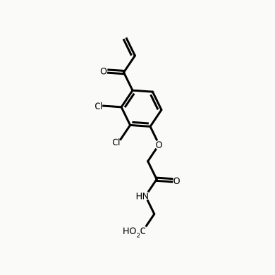 C=CC(=O)c1ccc(OCC(=O)NCC(=O)O)c(Cl)c1Cl